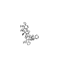 C#C[C@@]1(O)[C@H](O)[C@@H](COP(=O)(NC(C)(C(=O)O)C2CCCC2)Oc2ccccc2)O[C@H]1n1ccc(=O)[nH]c1=O